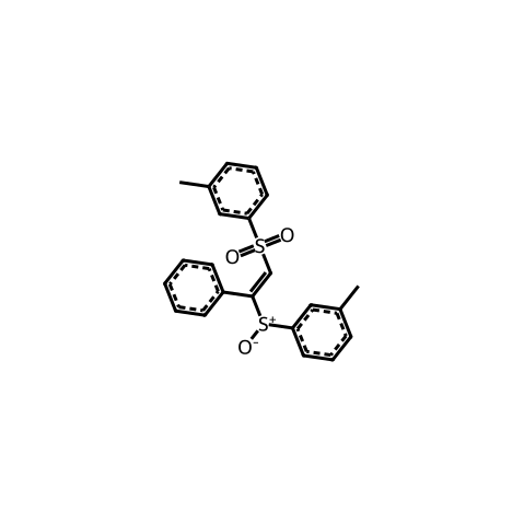 Cc1cccc([S+]([O-])C(=CS(=O)(=O)c2cccc(C)c2)c2ccccc2)c1